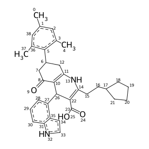 Cc1cc(C)c(C2CC(=O)C3=C(C2)NC(CCC2CCCC2)=C(C(=O)O)C3c2cccc3[nH]ccc23)c(C)c1